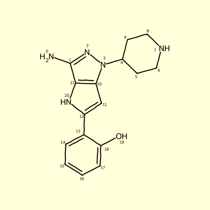 Nc1nn(C2CCNCC2)c2cc(-c3ccccc3O)[nH]c12